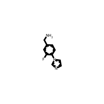 NCc1ccc(-n2ccnc2)c(F)c1